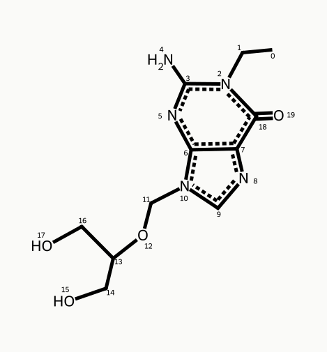 CCn1c(N)nc2c(ncn2COC(CO)CO)c1=O